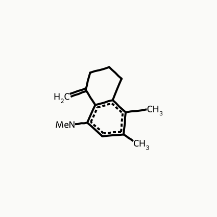 C=C1CCCc2c(C)c(C)cc(NC)c21